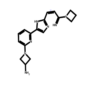 N=C(/C=C\c1ncc(-c2cccc(N3CC(N)C3)n2)[nH]1)N1CCC1